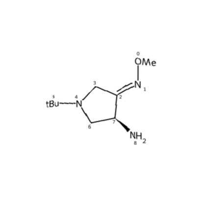 CO/N=C1\CN(C(C)(C)C)C[C@@H]1N